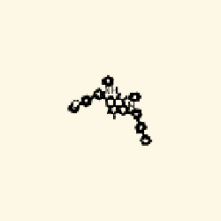 CC1c2cc(C3=C(Nc4ccccc4)CCC(c4ccc(-c5ccccc5)cc4)=C3)cc3c2-c2c(cc4c5cc(-c6ccc(-c7ccccc7)cc6)ccc5n(-c5ccccc5)c4c2C(C)C3C)C1C